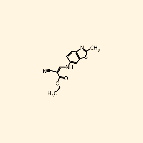 CCOC(=O)/C(C#N)=C\Nc1ccc2nc(C)sc2c1